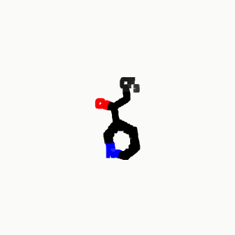 O=C(CC(F)(F)F)c1cccnc1